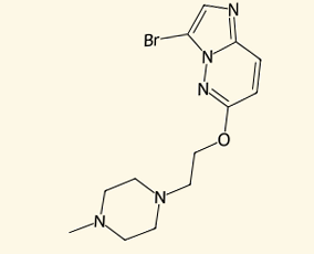 CN1CCN(CCOc2ccc3ncc(Br)n3n2)CC1